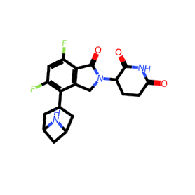 O=C1CCC(N2Cc3c(c(F)cc(F)c3C3CC4CC(C3)N4)C2=O)C(=O)N1